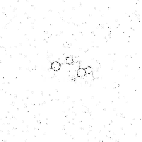 COc1cc(-n2cnc(Nc3nc(C(C)C)nc4c3cnn4C(C)C)c2)cc(OC)c1OC